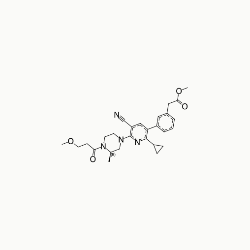 COCCC(=O)N1CCN(c2nc(C3CC3)c(-c3cccc(CC(=O)OC)c3)cc2C#N)C[C@H]1C